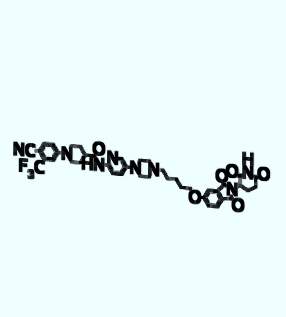 N#Cc1ccc(N2CCC(C(=O)Nc3ccc(N4CCN(CCCCCOc5ccc6c(c5)C(=O)N(C5CCC(=O)NC5=O)C6=O)CC4)cn3)CC2)cc1C(F)(F)F